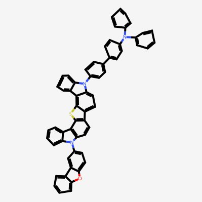 c1ccc(N(c2ccccc2)c2ccc(-c3ccc(-n4c5ccccc5c5c6sc7c(ccc8c7c7ccccc7n8-c7ccc8oc9ccccc9c8c7)c6ccc54)cc3)cc2)cc1